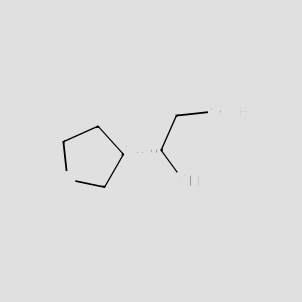 [CH2]C(CS(=O)(=O)O)[C@H]1CCOC1